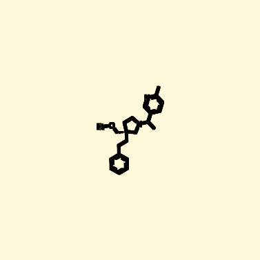 CCOC[C@]1(CCc2ccccc2)CCN(C(C)c2ccc(C)nc2)C1